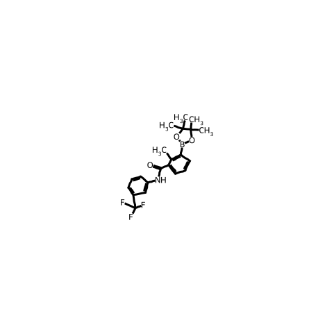 Cc1c(B2OC(C)(C)C(C)(C)O2)cccc1C(=O)Nc1cccc(C(F)(F)F)c1